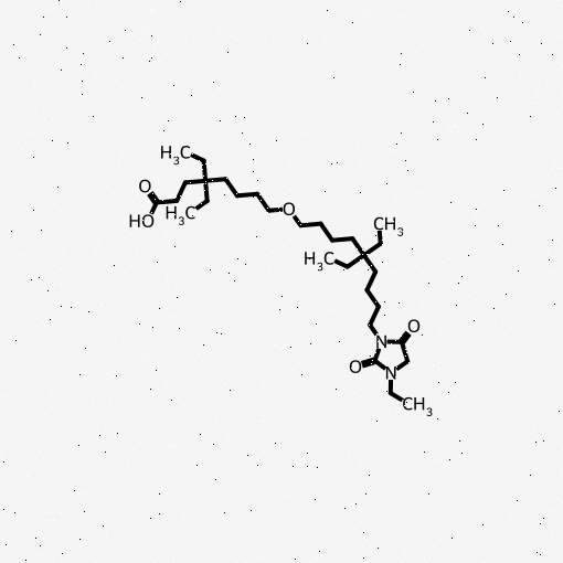 CCN1CC(=O)N(CCCCC(CC)(CC)CCCCOCCCCC(CC)(CC)CCC(=O)O)C1=O